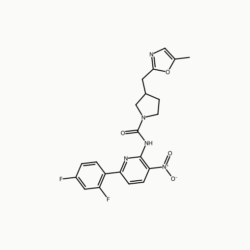 Cc1cnc(CC2CCN(C(=O)Nc3nc(-c4ccc(F)cc4F)ccc3[N+](=O)[O-])C2)o1